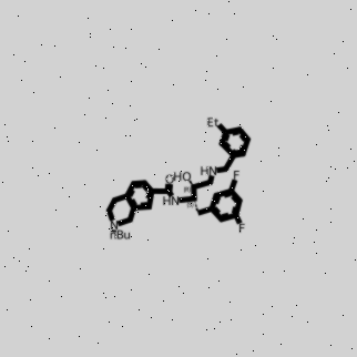 CCCCN1CCc2ccc(C(=O)N[C@@H](Cc3cc(F)cc(F)c3)[C@H](O)CNCc3cccc(CC)c3)cc2C1